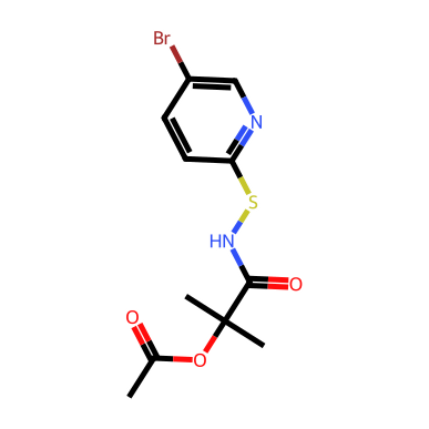 CC(=O)OC(C)(C)C(=O)NSc1ccc(Br)cn1